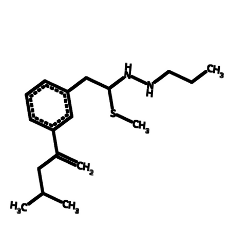 C=C(CC(C)C)c1cccc(CC(NNCCC)SC)c1